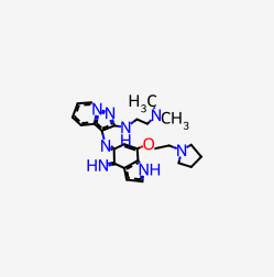 CN(C)CCNc1nn2ccccc2c1N=C1C=C(OCCN2CCCC2)c2[nH]ccc2C1=N